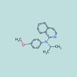 COc1ccc(N(c2nccc3ccccc23)C(C)C)cc1